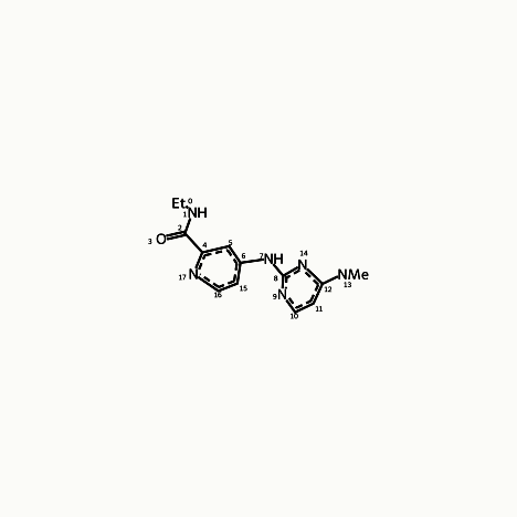 CCNC(=O)c1cc(Nc2nccc(NC)n2)ccn1